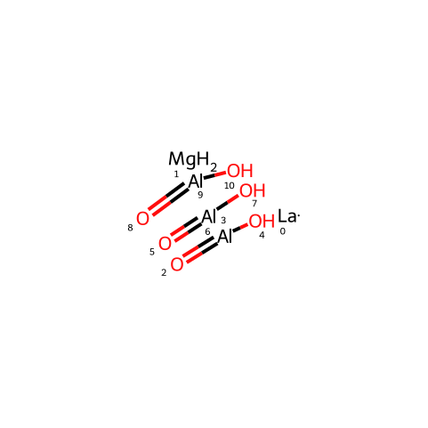 [La].[MgH2].[O]=[Al][OH].[O]=[Al][OH].[O]=[Al][OH]